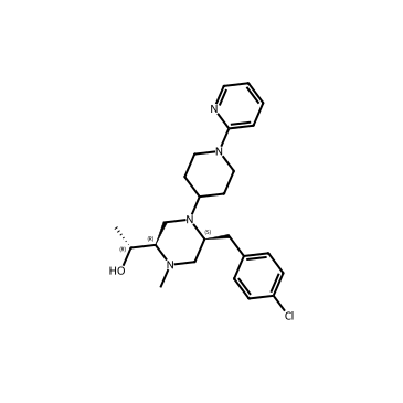 C[C@@H](O)[C@H]1CN(C2CCN(c3ccccn3)CC2)[C@@H](Cc2ccc(Cl)cc2)CN1C